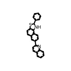 c1ccc(C2Nc3c(ccc4cc(-c5ccc6ccccc6n5)ccc34)S2)cc1